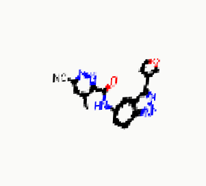 Cc1cc(C#N)nnc1C(=O)Nc1ccc2[nH]nc(-c3ccoc3)c2c1